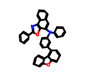 c1ccc(-c2nc3c(o2)c(N(c2ccccc2)c2cccc(-c4cccc5oc6ccccc6c45)c2)cc2ccccc23)cc1